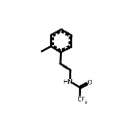 Cc1ccccc1CCNC(=O)C(F)(F)F